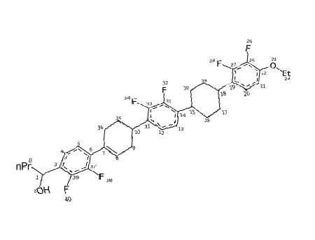 CCCC(O)c1ccc(C2=CCC(c3ccc(C4CCC(c5ccc(OCC)c(F)c5F)CC4)c(F)c3F)CC2)c(F)c1F